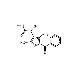 COC(=O)C(C)n1c(C)cc(C(=O)c2cccnc2)c1C